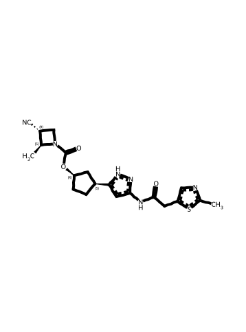 Cc1ncc(CC(=O)Nc2cc([C@H]3CC[C@@H](OC(=O)N4C[C@@H](C#N)[C@@H]4C)C3)[nH]n2)s1